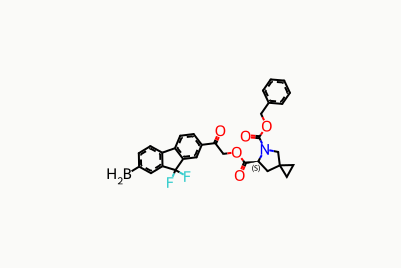 Bc1ccc2c(c1)C(F)(F)c1cc(C(=O)COC(=O)[C@@H]3CC4(CC4)CN3C(=O)OCc3ccccc3)ccc1-2